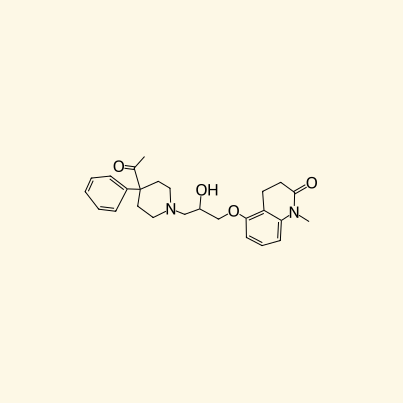 CC(=O)C1(c2ccccc2)CCN(CC(O)COc2cccc3c2CCC(=O)N3C)CC1